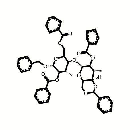 C[C@@H]1C(OC(=O)c2ccccc2)[C@H](OCc2ccccc2)OC(COC(=O)c2ccccc2)[C@H]1O[C@@H]1OC2COC(c3ccccc3)O[C@@H]2[C@H](C)C1OC(=O)c1ccccc1